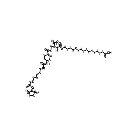 O=C(O)CCCCCCCCCCCCCCCCC(=O)NC(CCC(=O)N1CCC(NC(=O)NCCOCCOCC(=O)ON2C(=O)CCC2=O)CC1)C(=O)O